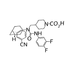 N#Cc1cccc([C@]23CCC(N(CC4CCN(C(=O)O)CC4)C(=O)Nc4ccc(F)c(F)c4)C[C@@H]2C3)c1